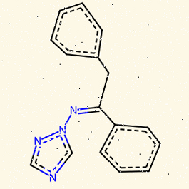 c1ccc(CC(=Nn2cncn2)c2ccccc2)cc1